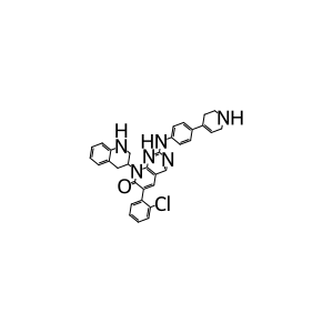 O=c1c(-c2ccccc2Cl)cc2cnc(Nc3ccc(C4=CCNCC4)cc3)nc2n1C1CNc2ccccc2C1